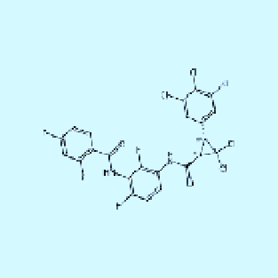 O=C(Nc1c(F)ccc(NC(=O)[C@H]2[C@H](c3cc(Cl)c(Cl)c(Cl)c3)C2(Cl)Cl)c1F)c1ccc(F)cc1F